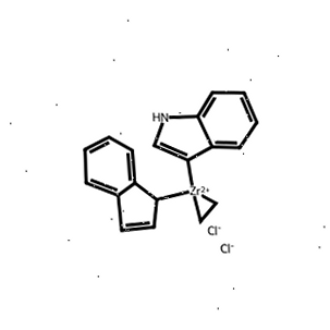 C1=C[CH]([Zr+2]2([c]3c[nH]c4ccccc34)[CH2][CH2]2)c2ccccc21.[Cl-].[Cl-]